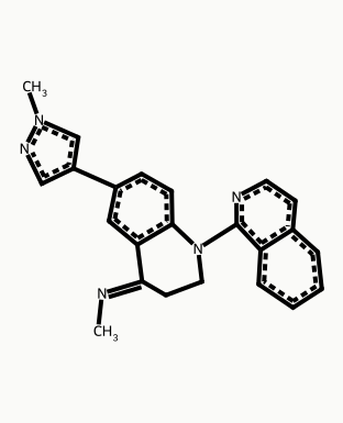 CN=C1CCN(c2nccc3ccccc23)c2ccc(-c3cnn(C)c3)cc21